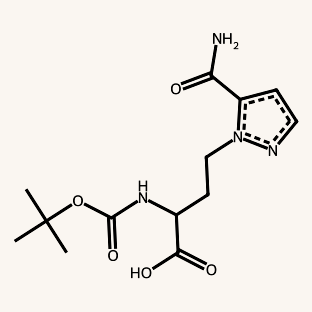 CC(C)(C)OC(=O)NC(CCn1nccc1C(N)=O)C(=O)O